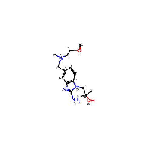 COCCN(C)Cc1ccc2c(c1)nc(N)n2CC(C)(C)O